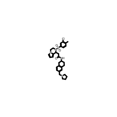 Cc1ccc(S(=O)(=O)N2CCn3cccc3C2CC(=O)NC2CCc3cc(CN4CCCC4)ccc3C2)cc1Cl